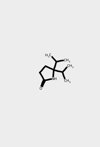 CC(C)C1(C(C)C)CCC(=O)N1